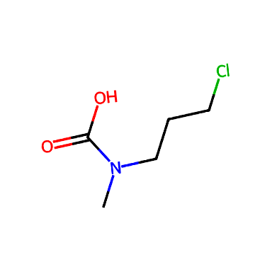 CN(CCCCl)C(=O)O